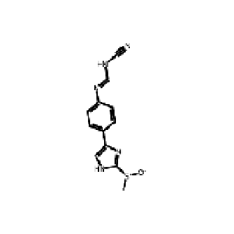 C[S+]([O-])c1nc(-c2ccc(/N=C/NC#N)cc2)c[nH]1